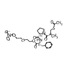 CC(=O)SC[C@@H](C)C(=O)N1CCC[C@H]1C(=O)N[C@H](Cc1ccccc1)C(=O)OCCOCCO[N+](=O)[O-]